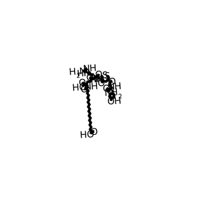 N=C(N)NCCC[C@H](NC(=O)CCC(NC(=O)CCCCCCCCCCCCCCCCCCC(=O)O)C(=O)O)C(=O)N[C@H]1CSSC[C@@H](C(=O)CN[C@@H](Cc2ccc(O)cc2)C(N)=O)CC1=O